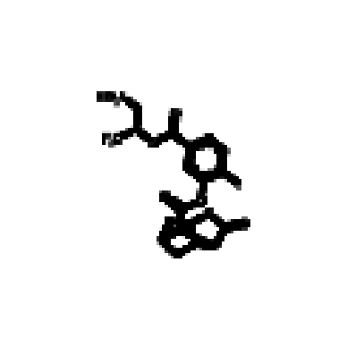 O=C(OC(CS(=O)(=O)O)C(F)(F)F)c1ccc(I)c(OC(=O)C2C3CC4OC(=O)C2C4C3)c1